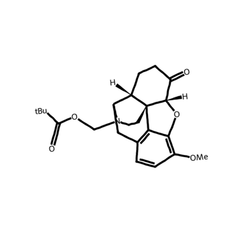 COc1ccc2c3c1O[C@H]1C(=O)CC[C@H]4C(C2)N(COC(=O)C(C)(C)C)CC[C@]314